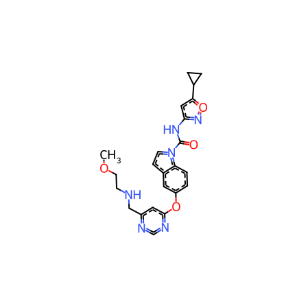 COCCNCc1cc(Oc2ccc3c(ccn3C(=O)Nc3cc(C4CC4)on3)c2)ncn1